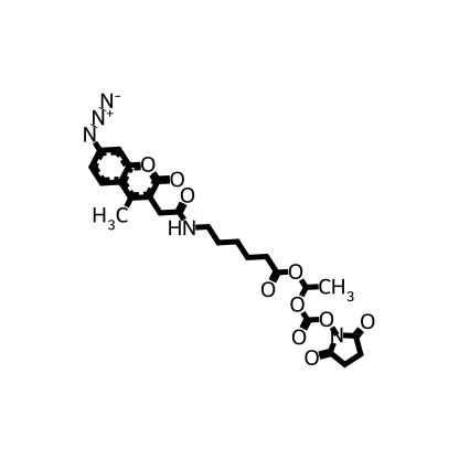 Cc1c(CC(=O)NCCCCCC(=O)OC(C)OC(=O)ON2C(=O)CCC2=O)c(=O)oc2cc(N=[N+]=[N-])ccc12